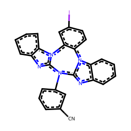 N#Cc1cccc(-n2c3nc4ccccc4n3c3ccc(I)cc3n3c4ccccc4nc23)c1